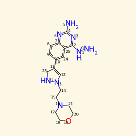 NNc1nc(N)nc2ccc(C3=CN(CCN4CCOCC4)NC3)cc12